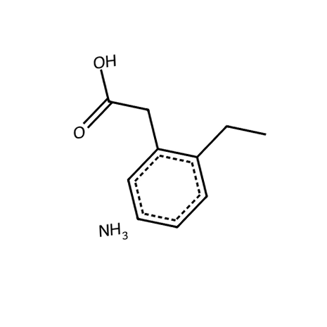 CCc1ccccc1CC(=O)O.N